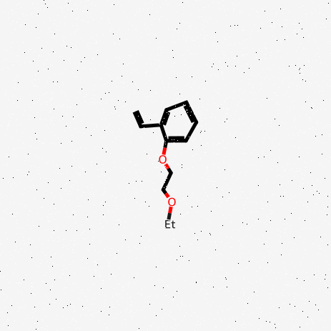 C=Cc1ccccc1OCCOCC